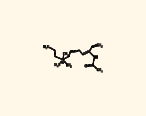 B[SH](B)(C)(C/C=C\C=C(/C=C)NC(C)=O)CCC